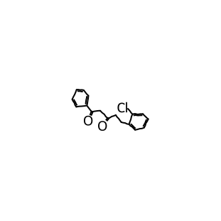 O=C(CCc1ccccc1Cl)CC(=O)c1ccccc1